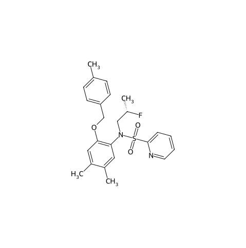 Cc1ccc(COc2cc(C)c(C)cc2N(C[C@H](C)F)S(=O)(=O)c2ccccn2)cc1